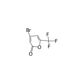 O=c1cc(Br)cc(C(F)(F)F)o1